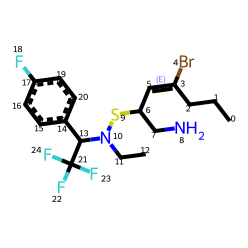 CCC/C(Br)=C\C(CN)SN(CC)C(c1ccc(F)cc1)C(F)(F)F